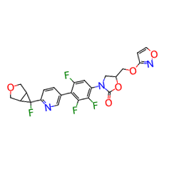 O=C1OC(COc2ccon2)CN1c1cc(F)c(-c2ccc(C3(F)C4COCC43)nc2)c(F)c1F